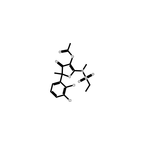 CCS(=O)(=O)N(C)C1=C(OC(C)=O)C(=O)C(C)(c2cccc(Cl)c2Cl)O1